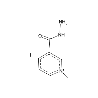 C[n+]1cccc(C(=O)NN)c1.[I-]